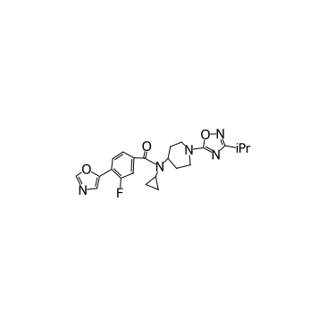 CC(C)c1noc(N2CCC(N(C(=O)c3ccc(-c4cnco4)c(F)c3)C3CC3)CC2)n1